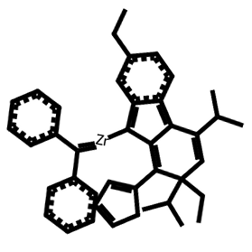 CCc1ccc2c(c1)=[C]([Zr]=[C](c1ccccc1)c1ccccc1)C1=C(C3=CC=CC3)C(CC)(C(C)C)C=C(C(C)C)C=21